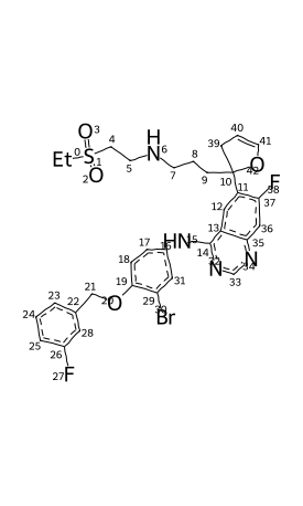 CCS(=O)(=O)CCNCCCC1(c2cc3c(Nc4ccc(OCc5cccc(F)c5)c(Br)c4)ncnc3cc2F)CC=CO1